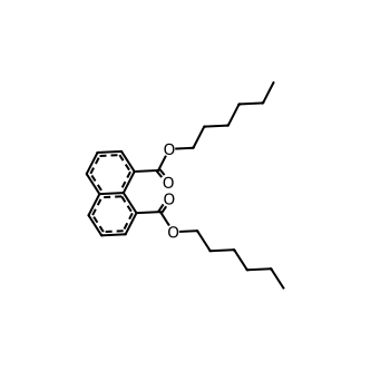 CCCCCCOC(=O)c1cccc2cccc(C(=O)OCCCCCC)c12